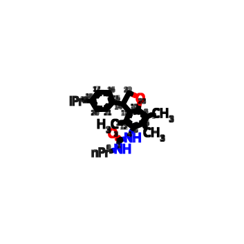 CCCNC(=O)Nc1c(C)c(C)c2c(c1C)C(c1ccc(C(C)C)cc1)CO2